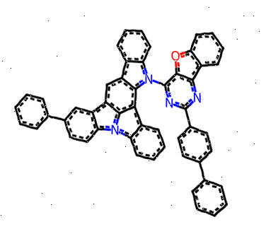 c1ccc(-c2ccc(-c3nc(-n4c5ccccc5c5cc6c7cc(-c8ccccc8)ccc7n7c8ccccc8c(c54)c67)c4oc5ccccc5c4n3)cc2)cc1